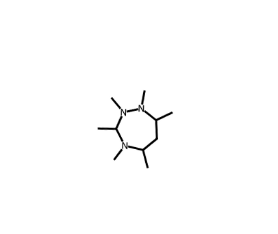 CC1CC(C)N(C)N(C)C(C)N1C